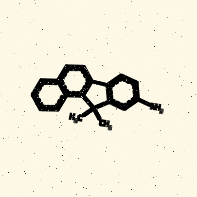 CC1(C)c2cc(N)ccc2-c2ccc3ccccc3c21